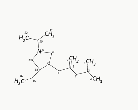 C=C(CC(C)C)CC1CN(C(C)C)CC1CC